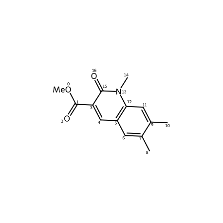 COC(=O)c1cc2cc(C)c(C)cc2n(C)c1=O